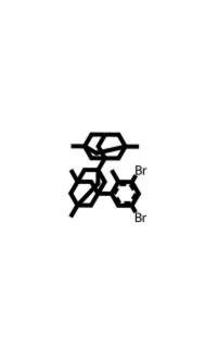 Cc1c(Br)cc(Br)cc1C12CC3(C)CC(C)(C1)CC(C14CC5CC(C)(CC(C)(C5)C1)C4)(C3)C2